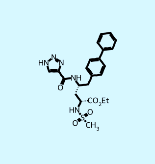 CCOC(=O)[C@@H](C[C@@H](Cc1ccc(-c2ccccc2)cc1)NC(=O)c1c[nH]nn1)NS(C)(=O)=O